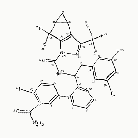 NC(=O)c1cc(-c2cccnc2C(Cc2cc(F)cc(F)c2)NC(=O)n2nc(C(F)(F)F)c3c2C(F)(F)C2CC32)ccc1F